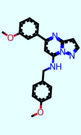 COc1ccc(CNc2cc(-c3cccc(OC)c3)nc3ccnn23)cc1